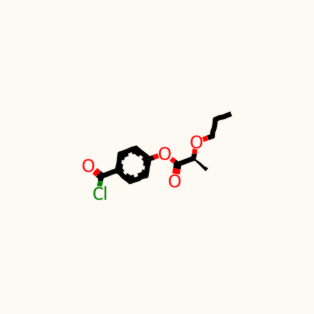 CCCO[C@@H](C)C(=O)Oc1ccc(C(=O)Cl)cc1